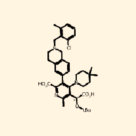 Cc1cccc(Cl)c1CN1CCc2cc(-c3c(C(=O)O)nc(C)c([C@H](OC(C)(C)C)C(=O)O)c3N3CCC(C)(C)CC3)ccc2C1